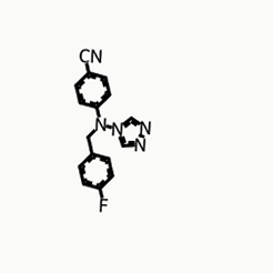 N#Cc1ccc(N(Cc2ccc(F)cc2)n2cnnc2)cc1